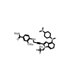 CNC(=O)c1ccc(NCC#Cc2cc3c(n2CC(F)(F)P)=CCCC=3N(C)C2CCC(N(C)C)CC2)c(OC)c1